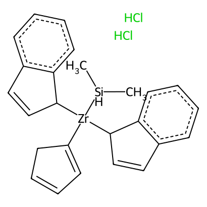 C[SiH](C)[Zr]([C]1=CC=CC1)([CH]1C=Cc2ccccc21)[CH]1C=Cc2ccccc21.Cl.Cl